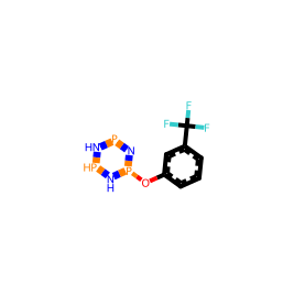 FC(F)(F)c1cccc(Op2np[nH][pH][nH]2)c1